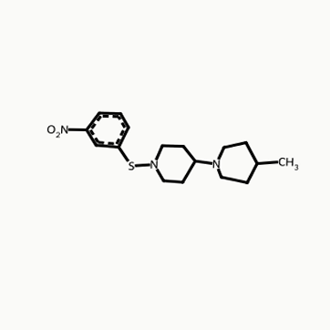 CC1CCN(C2CCN(Sc3cccc([N+](=O)[O-])c3)CC2)CC1